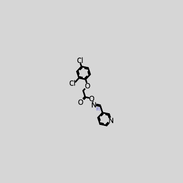 O=C(COc1ccc(Cl)cc1Cl)O/N=C/c1cccnc1